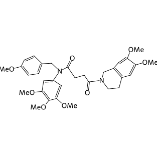 COc1ccc(CN(C(=O)CCC(=O)N2CCc3cc(OC)c(OC)cc3C2)c2cc(OC)c(OC)c(OC)c2)cc1